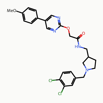 COc1ccc(-c2cnc(OCC(=O)NCC3CCN(Cc4ccc(Cl)c(Cl)c4)C3)nc2)cc1